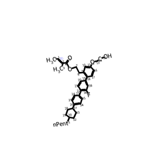 C/C=C(\C)C(=O)OCCc1cc(OCCO)ccc1-c1ccc(-c2ccc(C3CCC(CCCCC)CC3)cc2)c(F)c1